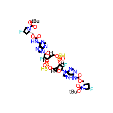 CC(C)(C)OC(=O)N1C[C@@H](F)C[C@H]1COC(=O)Nc1ncnc2c1ncn2[C@@H]1O[C@@H]2CO[P@](=O)(S)O[C@H]3[C@@H](F)[C@H](n4cnc5c(NC(=O)OC[C@@H]6C[C@H](F)CN6C(=O)OC(C)(C)C)ncnc54)OC34C[C@H]4O[P@@](=O)(S)O[C@H]2[C@H]1F